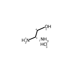 Cl.N.NCCO